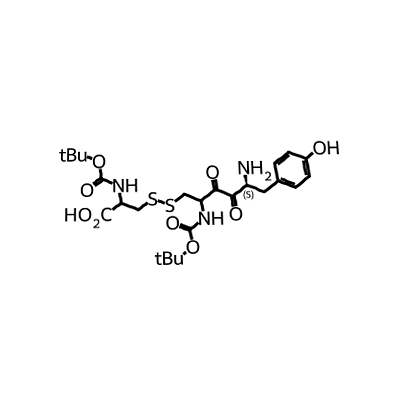 CC(C)(C)OC(=O)NC(CSSCC(NC(=O)OC(C)(C)C)C(=O)C(=O)[C@@H](N)Cc1ccc(O)cc1)C(=O)O